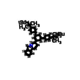 CC(C)(C)CC(C)(C)c1ccc(-c2cc(C3=CN4Cc5ccccc5C4C=C3)cc(-c3ccc(C(C)(C)CC(C)(C)C)cc3)c2)cc1